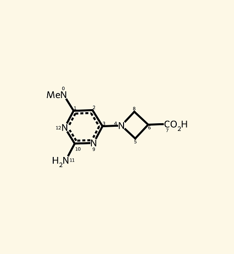 CNc1cc(N2CC(C(=O)O)C2)nc(N)n1